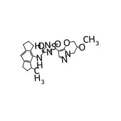 CO[C@@H]1COc2c(S(N)(=O)=NC(=O)Nc3c4c(cc5c3C(C)CC5)CCC4)cnn2C1